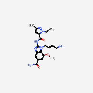 CCn1nc(C)cc1C(=O)Nc1nc2cc(C(N)=O)cc(OC)c2n1C/C=C/CN